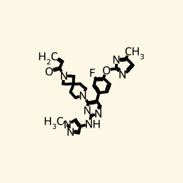 C=CC(=O)N1CC2(CCN(c3nc(Nc4cnn(C)c4)ncc3-c3ccc(Oc4nccc(C)n4)c(F)c3)CC2)C1